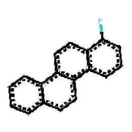 Fc1cccc2c1ccc1c3ccccc3ccc21